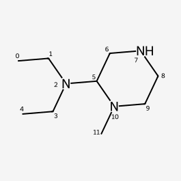 CCN(CC)C1CNCCN1C